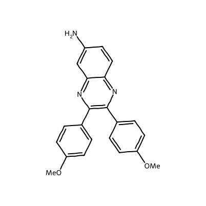 COc1ccc(-c2nc3ccc(N)cc3nc2-c2ccc(OC)cc2)cc1